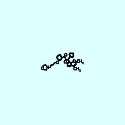 C=C1C=C(C)c2ccc3oc(C(=O)c4cccc(OCCCCN5CCOCC5)c4)c(-c4ccccc4)c3c2O1